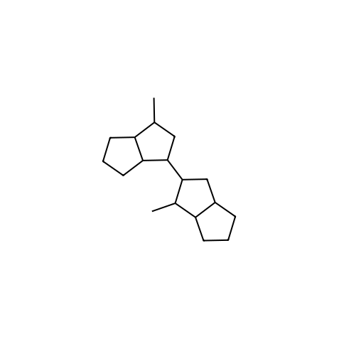 CC1CC(C2CC3CCCC3C2C)C2CCCC12